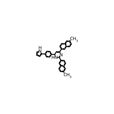 Cc1ccc2cc(C3=CC(c4ccc(-c5ccc[nH]5)cc4)NC(c4ccc5cc(C)ccc5c4)=N3)ccc2c1